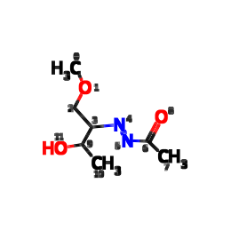 COCC(N=NC(C)=O)C(C)O